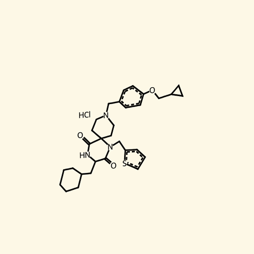 Cl.O=C1C(CC2CCCCC2)NC(=O)C2(CCN(Cc3ccc(OCC4CC4)cc3)CC2)N1Cc1cccs1